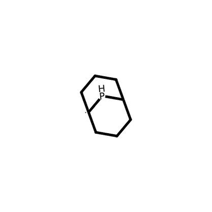 C1C[C]2CCCC(C1)P2